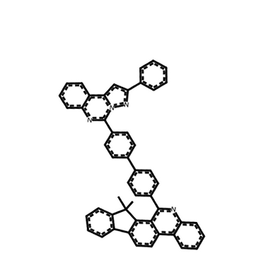 CC1(C)c2ccccc2-c2ccc3c(c(-c4ccc(-c5ccc(-c6nc7ccccc7c7cc(-c8ccccc8)nn67)cc5)cc4)nc4ccccc43)c21